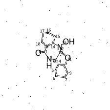 O=C1N[C@@H](c2ccccc2)C(=O)N(O)c2ccccc21